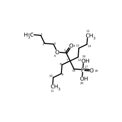 CCCCOC(=O)C(CCCC)(CCCC)CP(=O)(O)O